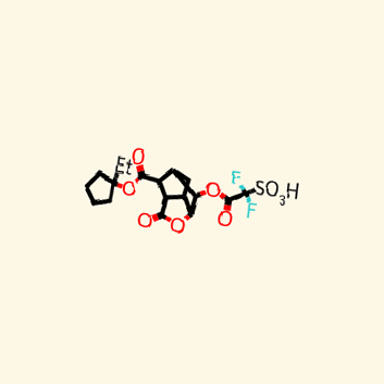 CCC1(OC(=O)C2C3CC4C(OC(=O)C42)C3OC(=O)C(F)(F)S(=O)(=O)O)CCCC1